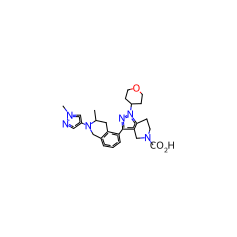 CC1Cc2c(cccc2-c2nn(C3CCOCC3)c3c2CN(C(=O)O)CC3)CN1c1cnn(C)c1